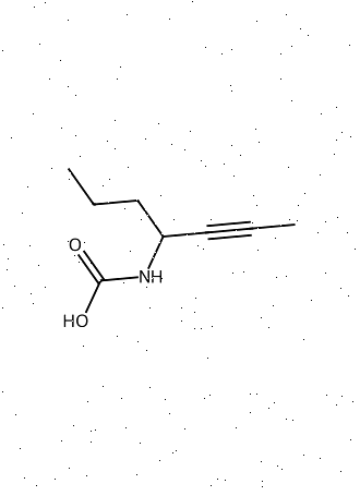 CC#CC(CCC)NC(=O)O